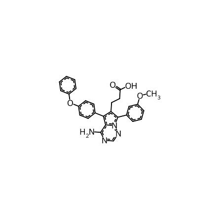 COc1cccc(-c2c(CCC(=O)O)c(-c3ccc(Oc4ccccc4)cc3)c3c(N)ncnn23)c1